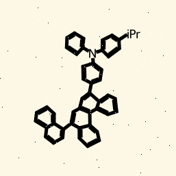 CC(C)c1ccc(N(c2ccccc2)c2ccc(-c3cc4cc(-c5cccc6ccccc56)c5ccccc5c4c4ccccc34)cc2)cc1